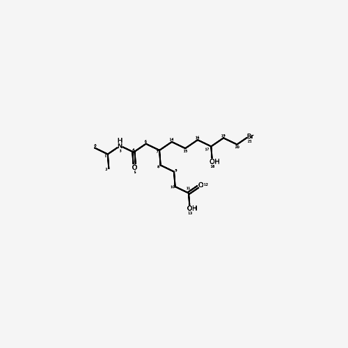 CC(C)NC(=O)CC(CCCC(=O)O)CCCC(O)CCBr